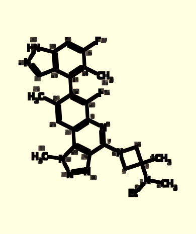 CCN(C)C1(C)CN(c2nc3c(F)c(-c4c(C)c(F)cc5[nH]ncc45)c(C)cc3c3c2nnn3C)C1